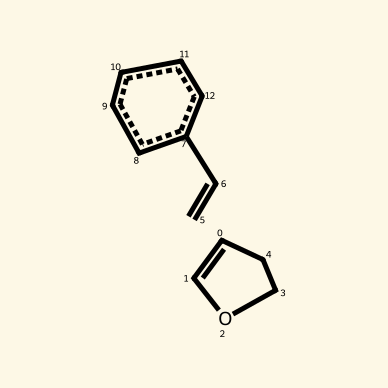 C1=COCC1.C=Cc1ccccc1